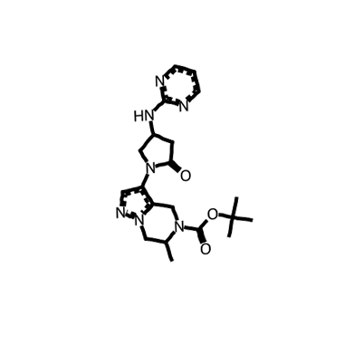 CC1Cn2ncc(N3CC(Nc4ncccn4)CC3=O)c2CN1C(=O)OC(C)(C)C